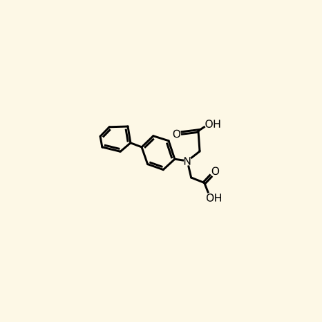 O=C(O)CN(CC(=O)O)c1ccc(-c2ccccc2)cc1